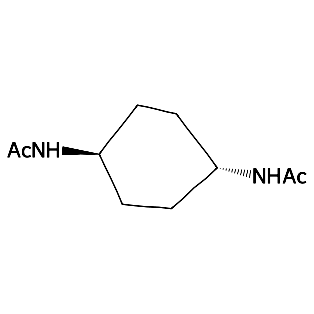 CC(=O)N[C@H]1CC[C@H](NC(C)=O)CC1